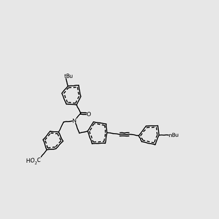 CCCCc1ccc(C#Cc2ccc(CN(Cc3ccc(C(=O)O)cc3)C(=O)c3ccc(C(C)(C)C)cc3)cc2)cc1